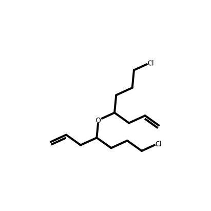 C=CCC(CCCCl)OC(CC=C)CCCCl